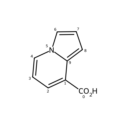 O=C(O)c1cccn2cccc12